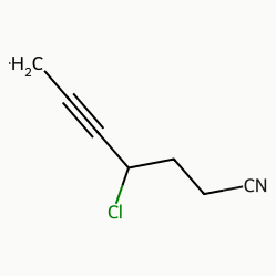 [CH2]C#CC(Cl)CCC#N